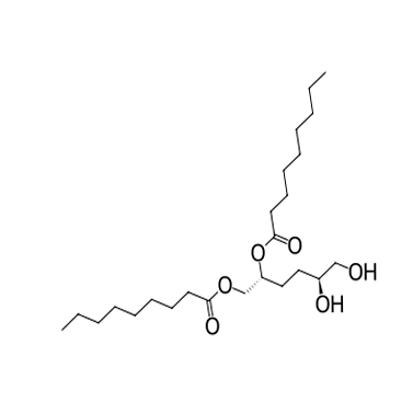 CCCCCCCCC(=O)OC[C@@H](CC[C@H](O)CO)OC(=O)CCCCCCCC